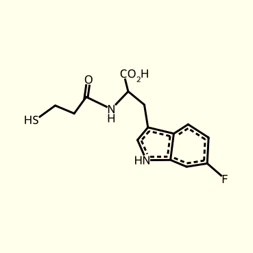 O=C(CCS)NC(Cc1c[nH]c2cc(F)ccc12)C(=O)O